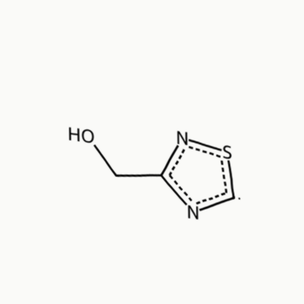 OCc1n[c]sn1